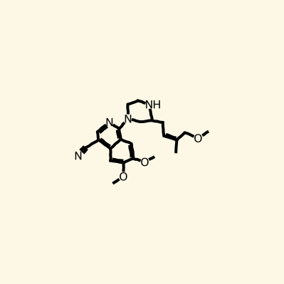 COCC(C)=CCC1CN(c2ncc(C#N)c3cc(OC)c(OC)cc23)CCN1